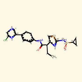 CCC(C(=O)Nc1ccc(-c2cncc(Cl)n2)cc1)c1csc(N[S+]([O-])C2CC2)n1